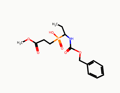 CCC(NC(=O)OCc1ccccc1)P(=O)(O)CCC(=O)OC